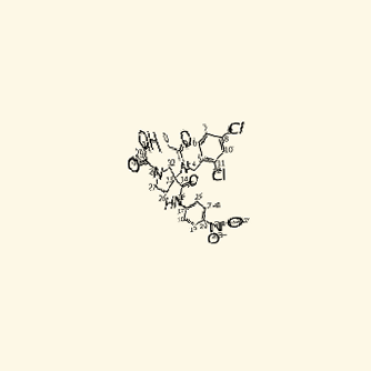 CC(=O)N(Cc1ccc(Cl)cc1Cl)C1(C(=O)Nc2ccc([N+](=O)[O-])cc2)CCN(C(=O)O)C1